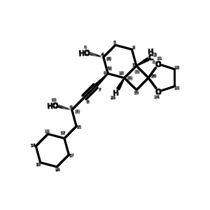 C[C@]12CC[C@@H](O)[C@H](C#C[C@@H](O)CC3CCCCC3)[C@H]1CC21OCCO1